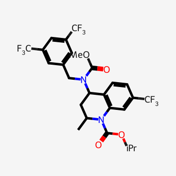 COC(=O)N(Cc1cc(C(F)(F)F)cc(C(F)(F)F)c1)C1CC(C)N(C(=O)OC(C)C)c2cc(C(F)(F)F)ccc21